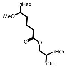 CCCCCCCCC(CCCCCC)COC(=O)CCCC(CCCCCC)OC